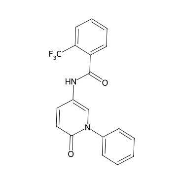 O=C(Nc1ccc(=O)n(-c2ccccc2)c1)c1ccccc1C(F)(F)F